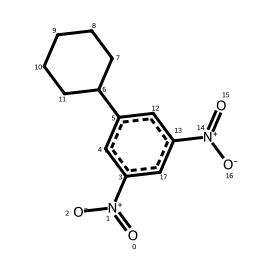 O=[N+]([O-])c1[c]c(C2CCCCC2)cc([N+](=O)[O-])c1